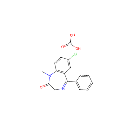 CN1C(=O)CN=C(c2ccccc2)c2cc(Cl)ccc21.[O]=[Ti]([OH])[OH]